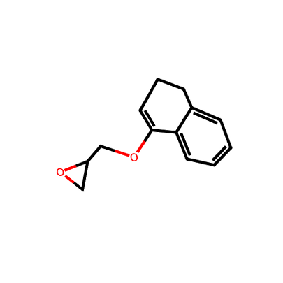 C1=C(OCC2CO2)c2ccccc2CC1